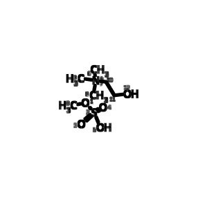 COS(=O)(=O)O.C[N+](C)(C)CCO